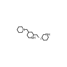 C1CCN(CC2CCNC(CC[C@H]3CCCNC3)C2)CC1